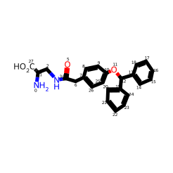 NC(CNC(=O)Cc1ccc(OC(c2ccccc2)c2ccccc2)cc1)C(=O)O